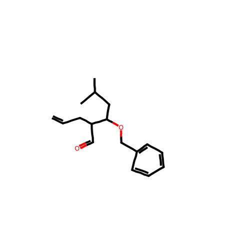 C=CCC(C=O)C(CC(C)C)OCc1ccccc1